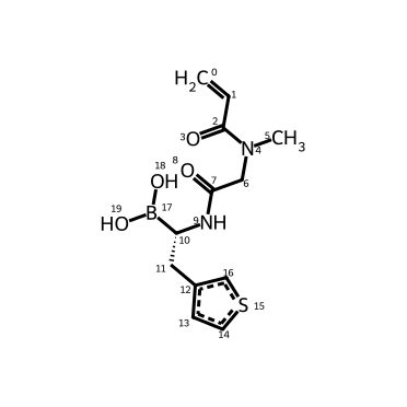 C=CC(=O)N(C)CC(=O)N[C@H](Cc1ccsc1)B(O)O